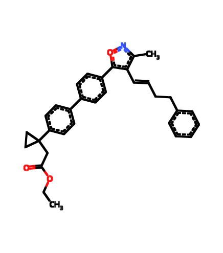 CCOC(=O)CC1(c2ccc(-c3ccc(-c4onc(C)c4C=CCCc4ccccc4)cc3)cc2)CC1